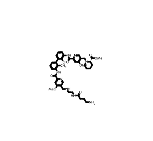 COC(=O)[C@@H]1CCCCN1Cc1cnc(C(=O)Nc2cccc(-c3cccc(NC(=O)c4cc(OC)c(CNCCNC(=O)CCCN)cn4)c3C)c2Cl)cc1OC